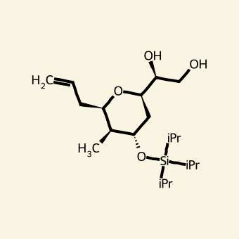 C=CC[C@H]1O[C@@H]([C@@H](O)CO)C[C@H](O[Si](C(C)C)(C(C)C)C(C)C)[C@H]1C